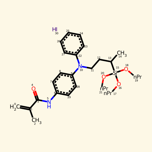 C=C(C)C(=O)Nc1ccc(N(CCC(C)[Si](OCCC)(OCCC)OCCC)c2ccccc2)cc1.I